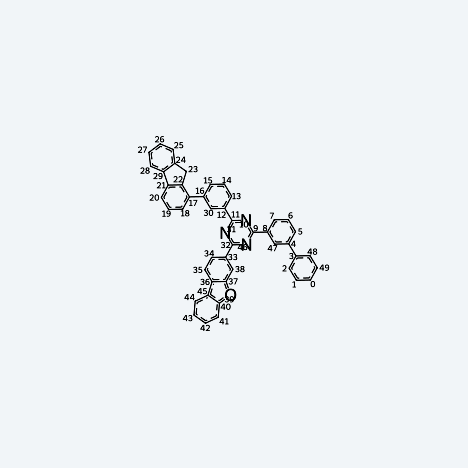 c1ccc(-c2cccc(-c3nc(-c4cccc(-c5cccc6c5Cc5ccccc5-6)c4)nc(-c4ccc5c(c4)oc4ccccc45)n3)c2)cc1